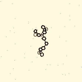 C1=CC2Oc3ccc4cc(-c5cccc(-c6ccc(N(c7ccc8oc9ccccc9c8c7)c7ccc8oc9ccccc9c8c7)cc6)c5)ccc4c3C2C=C1